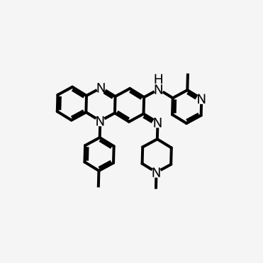 Cc1ccc(-n2c3cc(=NC4CCN(C)CC4)c(Nc4cccnc4C)cc-3nc3ccccc32)cc1